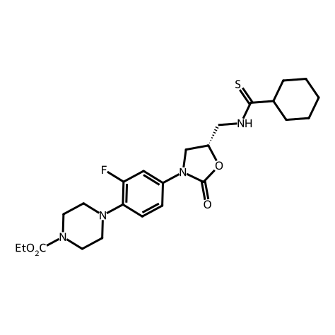 CCOC(=O)N1CCN(c2ccc(N3C[C@H](CNC(=S)C4CCCCC4)OC3=O)cc2F)CC1